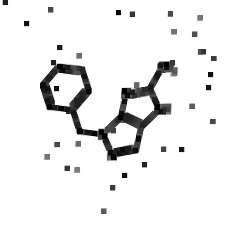 Cc1nc2c(cnn2Cc2ccccc2)[nH]1